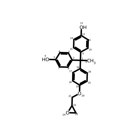 CC(c1ccc(O)cc1)(c1ccc(O)cc1)c1ccc(OCC2CO2)cc1